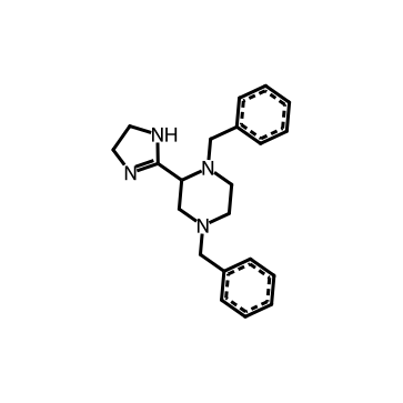 c1ccc(CN2CCN(Cc3ccccc3)C(C3=NCCN3)C2)cc1